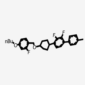 CCCCOc1ccc(COC2CCC(c3ccc(-c4ccc(C)cc4)c(F)c3F)CC2)c(F)c1